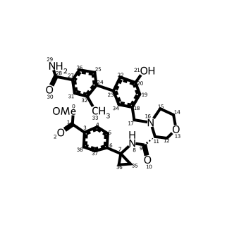 COC(=O)c1ccc(C2(NC(=O)[C@H]3COCCN3Cc3cc(O)cc(-c4ccc(C(N)=O)cc4C)c3)CC2)cc1